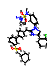 CN(c1cccc(-n2cc(-c3ccc(Cl)cc3Cl)nc2Cc2ccc(-c3cccc(S(=O)(=O)CC4CCCCC4)c3)cc2)c1)S(=O)(=O)NC=O